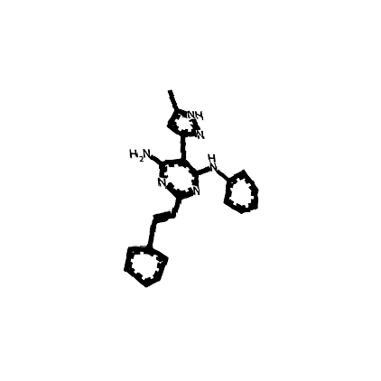 Cc1cc(-c2c(N)nc(C=Cc3ccccc3)nc2Nc2ccccc2)n[nH]1